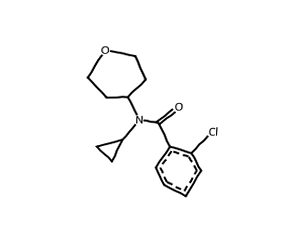 O=C(c1ccccc1Cl)N(C1CCOCC1)C1CC1